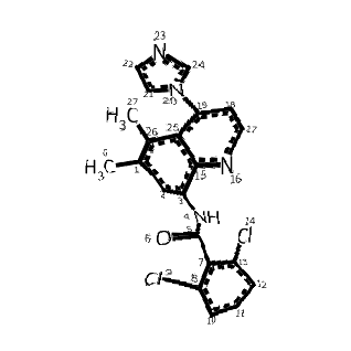 Cc1cc(NC(=O)c2c(Cl)cccc2Cl)c2nccc(-n3ccnc3)c2c1C